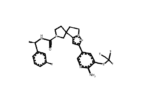 C[C@@H](NC(=O)N1CCC2(CCn3nc(-c4cnc(N)c(SC(F)(F)F)c4)cc32)C1)c1cccc(F)c1